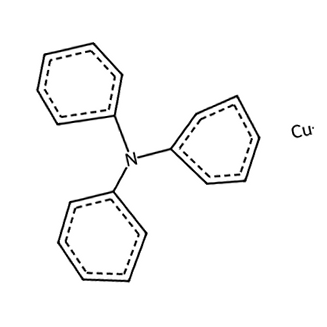 [Cu].c1ccc(N(c2ccccc2)c2ccccc2)cc1